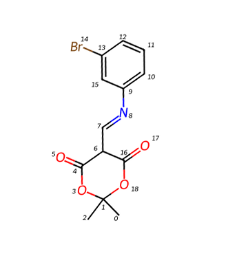 CC1(C)OC(=O)C(/C=N/c2cccc(Br)c2)C(=O)O1